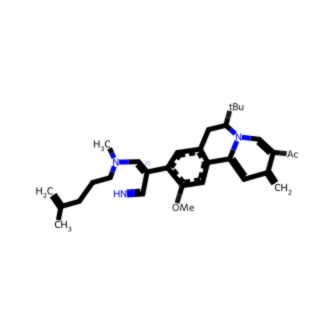 C=C(C)CCCN(C)/C=C(\C=N)c1cc2c(cc1OC)C1=CC(=C)C(C(C)=O)=CN1C(C(C)(C)C)C2